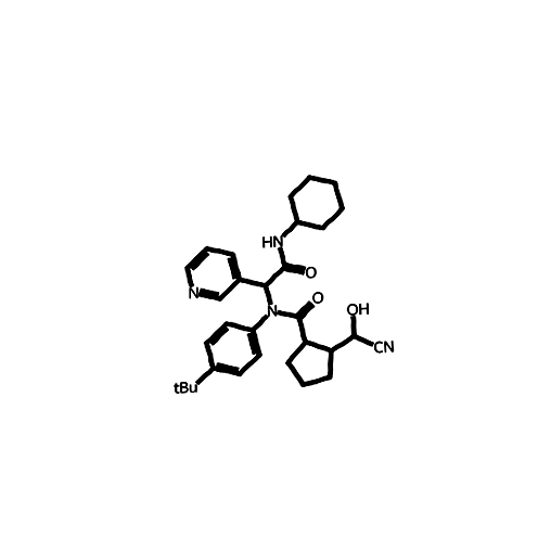 CC(C)(C)c1ccc(N(C(=O)C2CCCC2C(O)C#N)C(C(=O)NC2CCCCC2)c2cccnc2)cc1